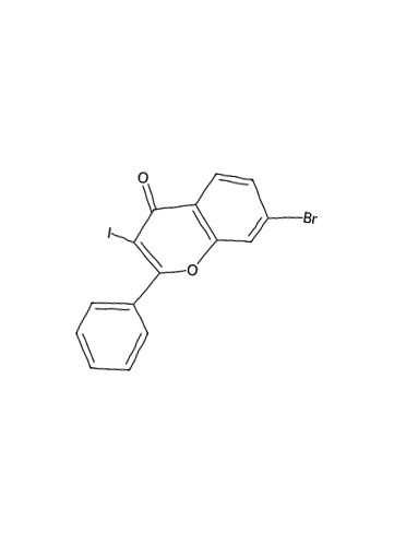 O=c1c(I)c(-c2ccccc2)oc2cc(Br)ccc12